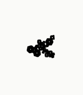 CN(CC(=O)OC(C)(C)C)C(=O)[C@@H](Cc1ccc(Cl)cc1)N(C)C(=O)OCC1c2ccccc2-c2ccccc21